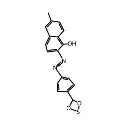 Cc1ccc2c(O)c(N=Nc3ccc(C4OSO4)cc3)ccc2c1